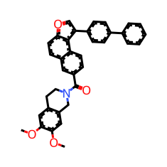 COc1cc2c(cc1OC)CN(C(=O)c1ccc3c(ccc4occ(-c5ccc(-c6ccccc6)cc5)c43)c1)CC2